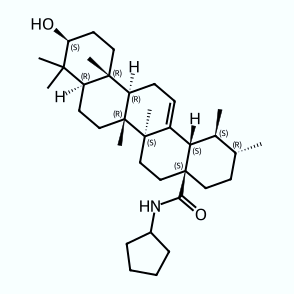 C[C@H]1[C@H](C)CC[C@]2(C(=O)NC3CCCC3)CC[C@]3(C)C(=CC[C@@H]4[C@@]5(C)CC[C@H](O)C(C)(C)[C@@H]5CC[C@]43C)[C@H]12